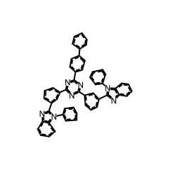 c1ccc(-c2ccc(-c3nc(-c4cccc(-c5nc6ccccc6n5-c5ccccc5)c4)nc(-c4cccc(-c5nc6ccccc6n5-c5ccccc5)c4)n3)cc2)cc1